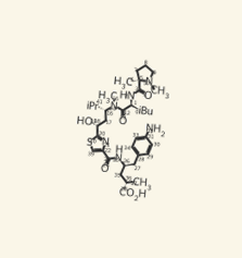 CC[C@H](C)[C@H](NC(=O)[C@@]1(C)CCCN1C)C(=O)N(C)[C@H](C[C@@H](O)c1nc(C(=O)N[C@@H](Cc2ccc(N)cc2)C[C@H](C)C(=O)O)cs1)C(C)C